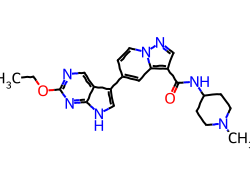 CCOc1ncc2c(-c3ccn4ncc(C(=O)NC5CCN(C)CC5)c4c3)c[nH]c2n1